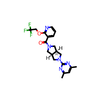 Cc1cc(C)nc(N2C[C@H]3CN(C(=O)c4cccnc4OCC(F)(F)F)C[C@H]3C2)n1